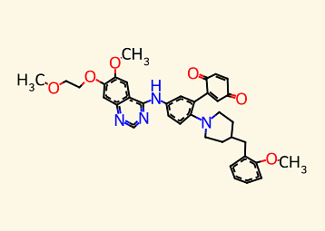 COCCOc1cc2ncnc(Nc3ccc(N4CCC(Cc5ccccc5OC)CC4)c(C4=CC(=O)C=CC4=O)c3)c2cc1OC